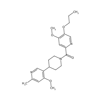 CCCOc1cnc(C(=O)N2CCC(c3cnc(C)cc3OC)CC2)cc1OC